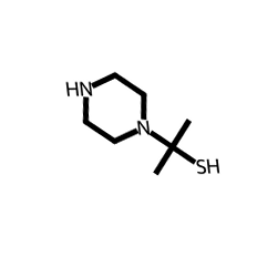 CC(C)(S)N1CCNCC1